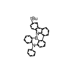 CC(C)(C)c1ccc2c(c1)c1cccc3c1n2B1c2ccccc2N(c2ccccc2)c2cccc-3c21